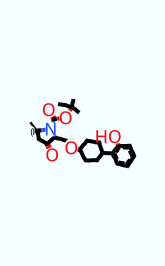 C[C@@H]1CC(=O)C(COC2CCC(c3ccccc3O)CC2)N1C(=O)OC(C)(C)C